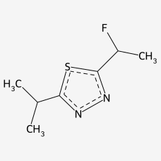 CC(C)c1nnc(C(C)F)s1